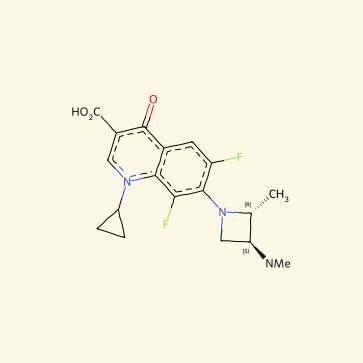 CN[C@H]1CN(c2c(F)cc3c(=O)c(C(=O)O)cn(C4CC4)c3c2F)[C@@H]1C